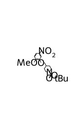 COc1ccc([N+](=O)[O-])cc1OCC1CCN(C(=O)OC(C)(C)C)CC1